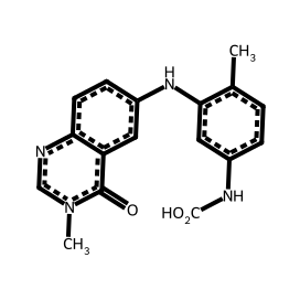 Cc1ccc(NC(=O)O)cc1Nc1ccc2ncn(C)c(=O)c2c1